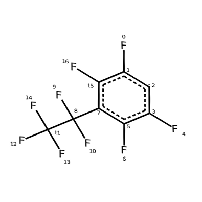 Fc1[c]c(F)c(F)c(C(F)(F)C(F)(F)F)c1F